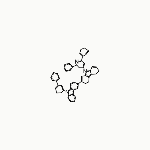 C1=CC(C2=NC(c3ccccc3)CC(n3c4c(c5c3C=C(c3ccc6c(c3)c3ccccc3n6C3=CC(c6ccccc6)=CCC3)CC5)CCC=C4)=C2)=CCC1